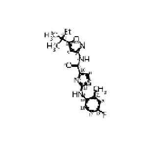 CCC(C)(C)c1cc(NC(=O)c2csc(Nc3ccc(F)cc3C)n2)no1